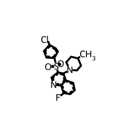 CC1CCN(c2c(S(=O)(=O)c3ccc(Cl)cc3)cnc3c(F)cccc23)CC1